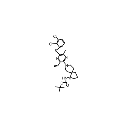 C=Cc1nc(Sc2cccc(Cl)c2Cl)c(C)nc1N1CCC2(CCC[C@H]2NC(=O)OC(C)(C)C)CC1